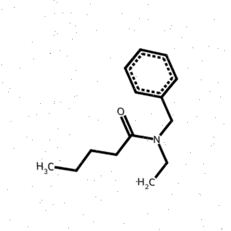 [CH2]CN(Cc1ccccc1)C(=O)CCCC